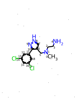 CN(CCN)Cc1c[nH]nc1-c1cc(Cl)cc(Cl)c1